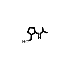 CC(C)NC1CCCC1CO